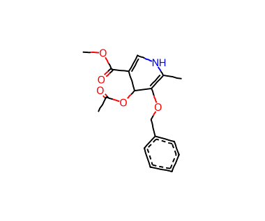 COC(=O)C1=CNC(C)=C(OCc2ccccc2)C1OC(C)=O